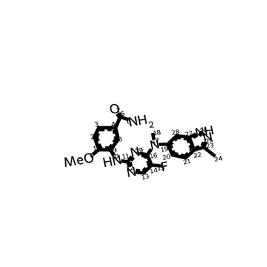 COc1ccc(C(N)=O)cc1Nc1ncc(F)c(N(C)c2ccc3c(C)n[nH]c3c2)n1